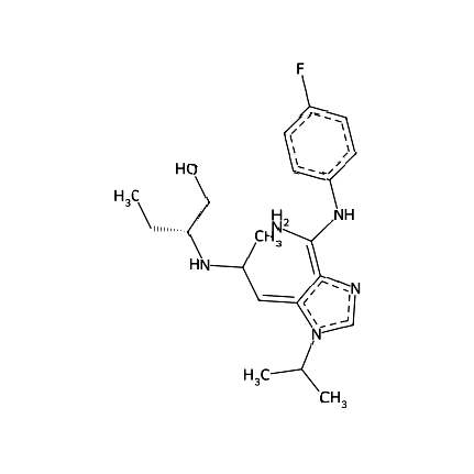 CC[C@H](CO)NC(C)/C=c1\c(=C(/N)Nc2ccc(F)cc2)ncn1C(C)C